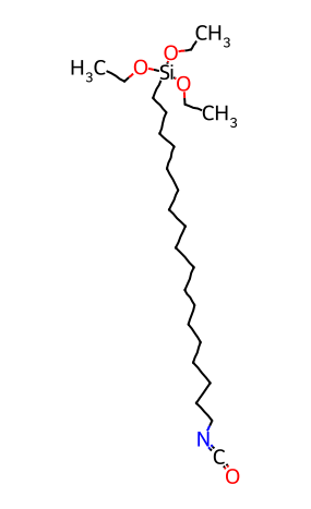 CCO[Si](CCCCCCCCCCCCCCCCCCN=C=O)(OCC)OCC